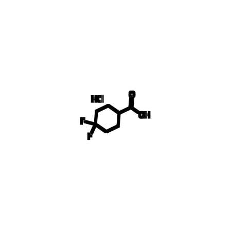 Cl.O=C(O)C1CCC(F)(F)CC1